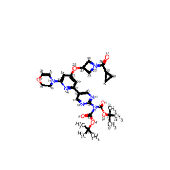 CC(C)(C)OC(=O)N(C(=O)OC(C)(C)C)c1ncc(-c2cc(OC3CN(C(=O)C4CC4)C3)cc(N3CCOCC3)n2)cn1